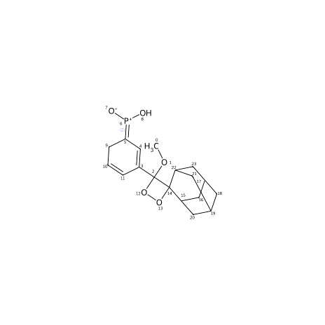 COC1(C2=C/C(=[P+](/[O-])O)CC=C2)OOC12C1CC3CC(C1)CC2C3